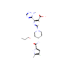 CCCO[C@@H]1CN(c2nc(-c3ncnn3C)c(C(=O)O)s2)CC[C@@H]1NC(=O)c1cc(Cl)c(C)[nH]1